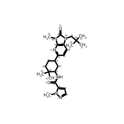 Cn1nccc1C(=O)NC1CC(c2ccc3c(n2)n(C)c(=O)n3CC(C)(C)C)CCC1(C)C